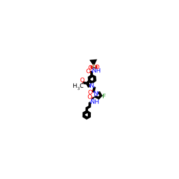 CC(=O)c1cn(CC(=O)N2C[C@H](F)C[C@H]2C(=O)NCCCc2ccccc2)c2ccc(C(=O)NS(=O)(=O)C3CC3)cc12